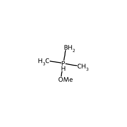 B[PH](C)(C)OC